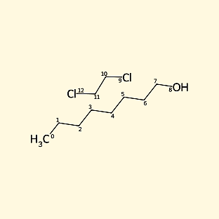 CCCCCCCCO.ClCCCl